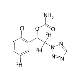 [2H]c1ccc(Cl)c(C(OC(N)=O)C([2H])([2H])n2ncnn2)c1